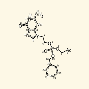 CC(=O)COP(=O)(OCCn1cnc2c(=O)[nH]c(N)nc21)OCc1ccccc1